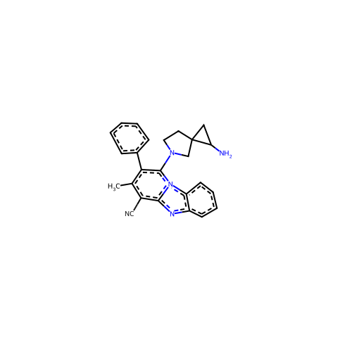 Cc1c(-c2ccccc2)c(N2CCC3(CC3N)C2)n2c(nc3ccccc32)c1C#N